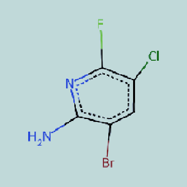 Nc1nc(F)c(Cl)cc1Br